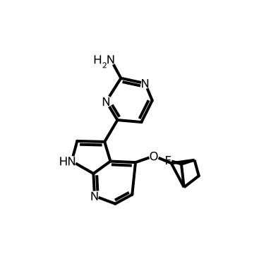 Nc1nccc(-c2c[nH]c3nccc(OC4C5CC4C5F)c23)n1